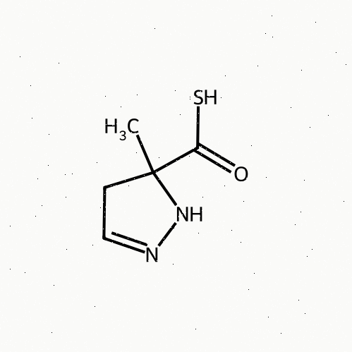 CC1(C(=O)S)CC=NN1